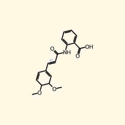 COC1C=CC(/C=C/C(=O)Nc2ccccc2C(=O)O)=CC1OC